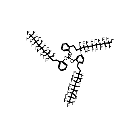 FC(F)(F)C(F)(F)C(F)(F)C(F)(F)C(F)(F)C(F)(F)C(F)(F)C(F)(F)CCc1ccccc1OP(Oc1ccccc1CCC(F)(F)C(F)(F)C(F)(F)C(F)(F)C(F)(F)C(F)(F)C(F)(F)C(F)(F)F)Oc1ccccc1CCC(F)(F)C(F)(F)C(F)(F)C(F)(F)C(F)(F)C(F)(F)C(F)(F)C(F)(F)F